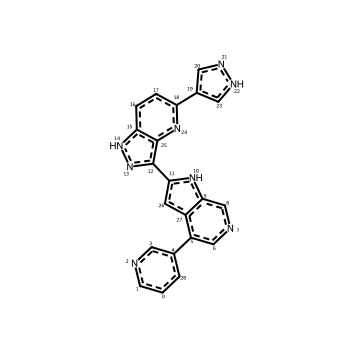 c1cncc(-c2cncc3[nH]c(-c4n[nH]c5ccc(-c6cn[nH]c6)nc45)cc23)c1